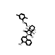 Cc1ccc(C)c(OCC[C@]23CC[C@](C)(O2)[C@@H]2C(=O)N(c4ccc(C#N)c5ccccc45)C(=O)[C@@H]23)c1